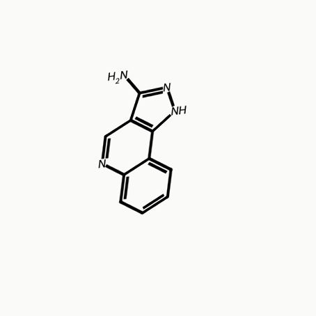 Nc1n[nH]c2c1cnc1ccccc12